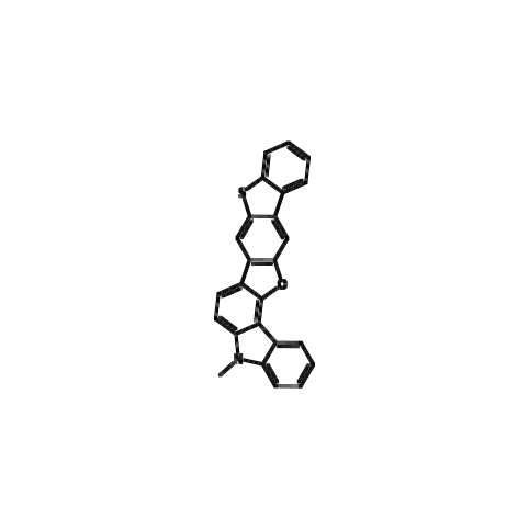 Cn1c2ccccc2c2c3oc4cc5c(cc4c3ccc21)sc1ccccc15